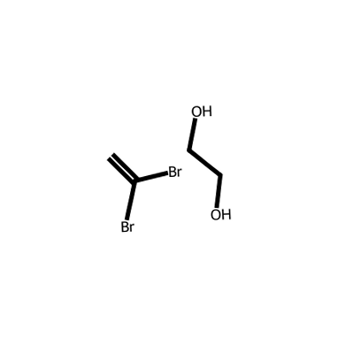 C=C(Br)Br.OCCO